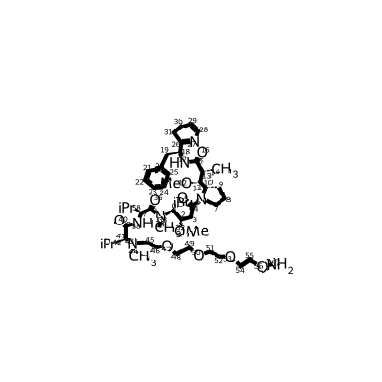 CC[C@H](C)[C@@H]([C@@H](CC(=O)N1CCC[C@H]1[C@H](OC)[C@@H](C)C(=O)N[C@@H](Cc1ccccc1)C1=NC=CCC1)OC)N(C)C(=O)[C@@H](NC(=O)[C@H](C(C)C)N(C)CCOCCOCCOCCON)C(C)C